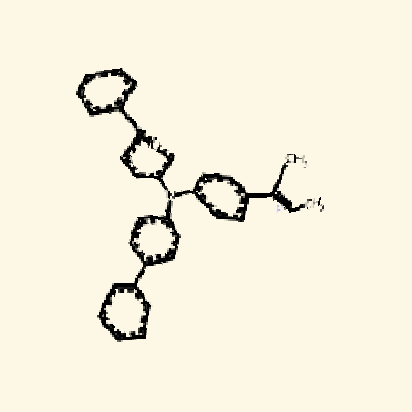 C/C=C(\C)c1ccc(N(c2ccc(-c3ccccc3)cc2)c2ccc(-c3ccccc3)cc2)cc1